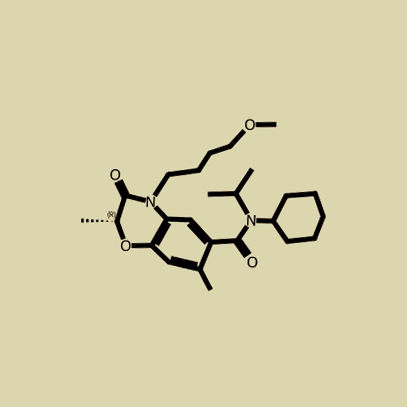 COCCCCN1C(=O)[C@@H](C)Oc2cc(C)c(C(=O)N(C(C)C)C3CCCCC3)cc21